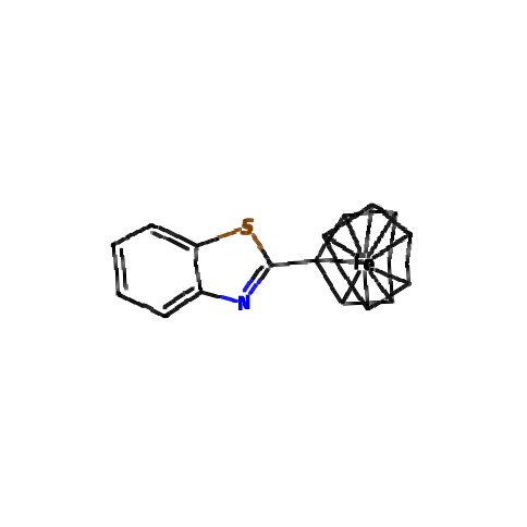 c1ccc2sc([C]34[CH]5[CH]6[CH]7[CH]3[Fe]6754389%10[CH]4[CH]3[CH]8[CH]9[CH]4%10)nc2c1